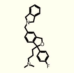 CN(C)CCCC1(c2ccc(F)cc2)OCc2cc(CN3Cc4ccccc4C3)ccc21